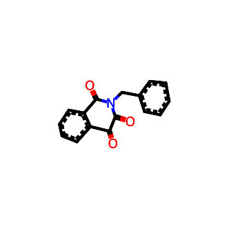 O=C1C(=O)N(Cc2ccccc2)C(=O)c2ccccc21